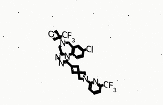 FC(F)(F)c1cccc(N2CC3(CC(c4nnc5n4-c4ccc(Cl)cc4CN(C4(C(F)(F)F)COC4)C5)C3)C2)n1